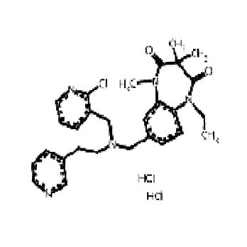 CCN1C(=O)C(C)(C)C(=O)N(C)c2cc(CN(CCc3cccnc3)Cc3cccnc3Cl)ccc21.Cl.Cl